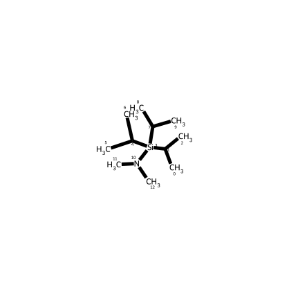 CC(C)[Si](C(C)C)(C(C)C)N(C)C